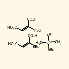 CCCC/C(=C/C(=O)O)C(=O)O.CCCC/C(=C/C(=O)O)C(=O)O.CCC[CH2][Sn]([CH3])([CH3])[CH2]CCC